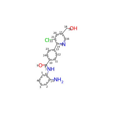 Nc1ccccc1NC(=O)c1ccc(-c2ncc(CO)cc2Cl)cc1